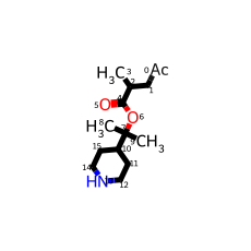 CC(=O)CC(C)C(=O)OC(C)(C)C1CCNCC1